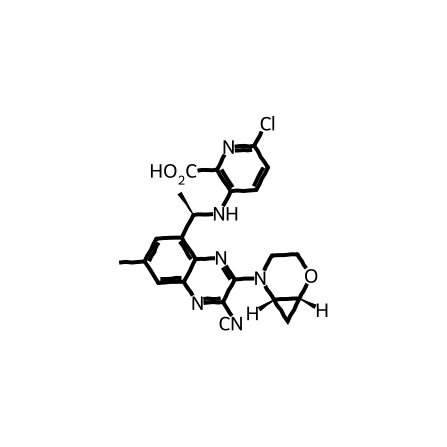 Cc1cc([C@@H](C)Nc2ccc(Cl)nc2C(=O)O)c2nc(N3CCO[C@@H]4C[C@@H]43)c(C#N)nc2c1